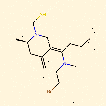 C=C1C[C@@H](C)N(CS)C/C1=C(\CCC)N(C)CCBr